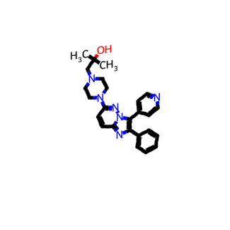 CC(C)(O)CN1CCN(c2ccc3nc(-c4ccccc4)c(-c4ccncc4)n3n2)CC1